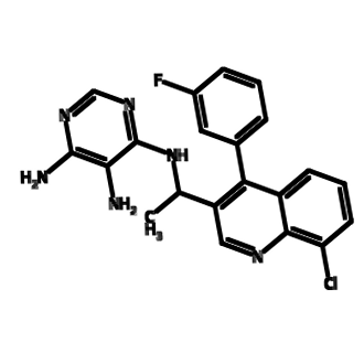 CC(Nc1ncnc(N)c1N)c1cnc2c(Cl)cccc2c1-c1cccc(F)c1